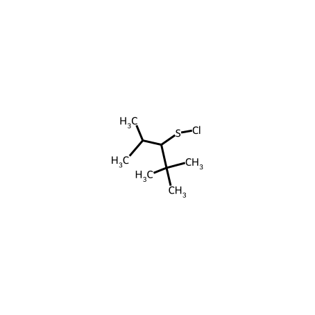 CC(C)C(SCl)C(C)(C)C